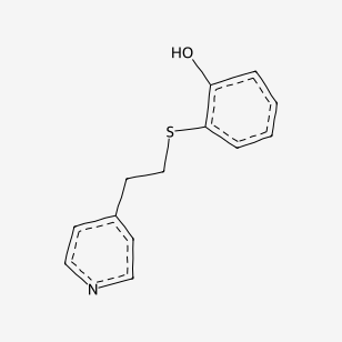 Oc1ccccc1SCCc1ccncc1